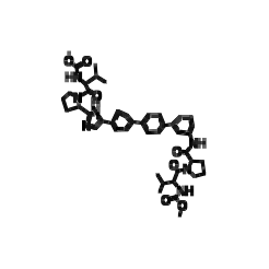 COC(=O)NC(C(=O)N1CCCC1C(=O)Nc1cccc(-c2ccc(-c3ccc(-c4cnc(C5CCCN5C(=O)C(NC(=O)OC)C(C)C)[nH]4)cc3)cc2)c1)C(C)C